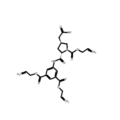 C=CCOC(=O)c1cc(NC(=O)[C@@H]2C[C@@H](CC(=O)S)CN2C(=O)OCC=C)cc(C(=O)OCC=C)c1